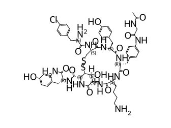 CC(=O)NCC(=O)Nc1ccc(C[C@H]2NC(=O)[C@H](Cc3ccc(O)cc3)NC(=O)[C@H](NC(=O)[C@@H](N)Cc3ccc(Cl)cc3)CSSC3[C@@H](C(=O)N[C@H](Cc4ccc(O)cc4)C(N)=O)NC(=O)[C@@H](NC(=O)[C@H](CCCCN)NC2=O)[C@@H]3O)cc1